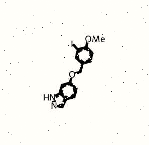 COc1ccc(COc2ccc3cn[nH]c3c2)cc1I